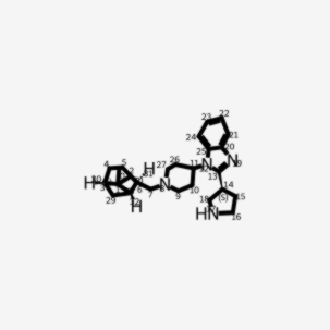 CC1(C)[C@H]2CC[C@@H](CN3CCC(n4c([C@H]5CCNC5)nc5ccccc54)CC3)[C@@H]1C2